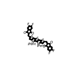 CCCC(C)n1c2cc(C=C3C(=O)c4cc(F)c(F)cc4C3=O)sc2c2sc3c4sc(C=C5C(=O)c6cc(F)c(F)cc6C5=O)cc4n(C(C)CCC)c3c21